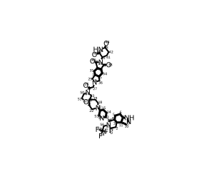 C[C@@H]1Cc2c(ccc3[nH]ncc23)[C@@H](c2ccc(N3CCC4(CC3)CN(C(=O)CN3Cc5cc6c(cc5C3)C(=O)N(C3CCC(=O)NC3=O)C6=O)CCO4)cn2)N1CC(F)(F)F